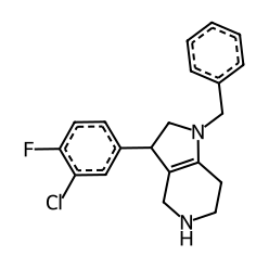 Fc1ccc(C2CN(Cc3ccccc3)C3=C2CNCC3)cc1Cl